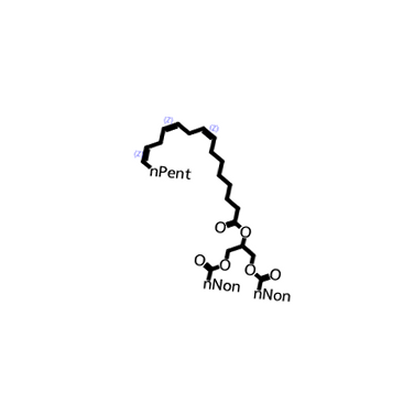 CCCCC/C=C\C/C=C\C/C=C\CCCCCCC(=O)OC(COC(=O)CCCCCCCCC)COC(=O)CCCCCCCCC